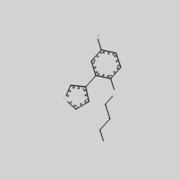 Nc1ccc(NCCCO)c(-c2cc[nH]c2)c1